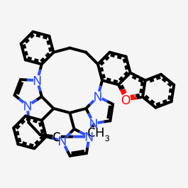 CN1C=CN2c3c(ccc4c3oc3ccccc34)CCc3ccccc3N3C=CN4CCCN5C=CN6c7ccccc7C(C(C12)C56)C43